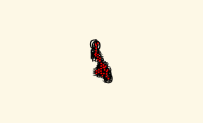 C=C(C)C(=O)OCCCCOc1ccc(-c2ccc(C#Cc3ccc4c(/C=N/N(CC5CCCCC5)c5nc6ccccc6s5)c(-c5ccc(CCOCC6OC6(C)C)cc5)ccc4c3)cc2)c(F)c1F